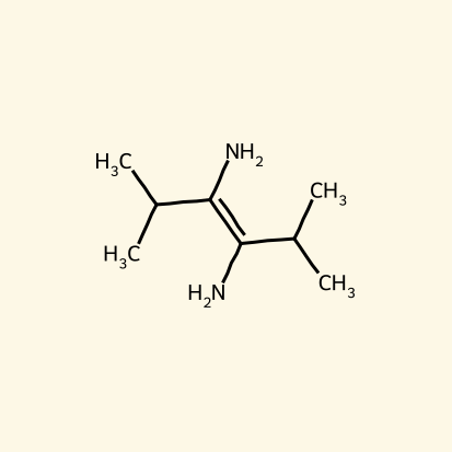 CC(C)C(N)=C(N)C(C)C